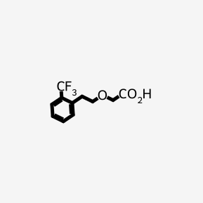 O=C(O)COCCc1ccccc1C(F)(F)F